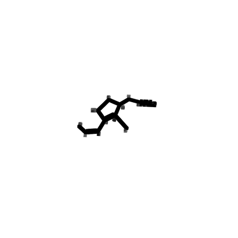 C/C=C\C1=C(C)C(CNC)CC1